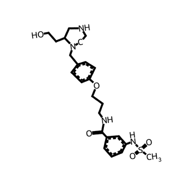 CS(=O)(=O)Nc1cccc(C(=O)NCCCOc2ccc(CN3CCNCC3CCO)cc2)c1